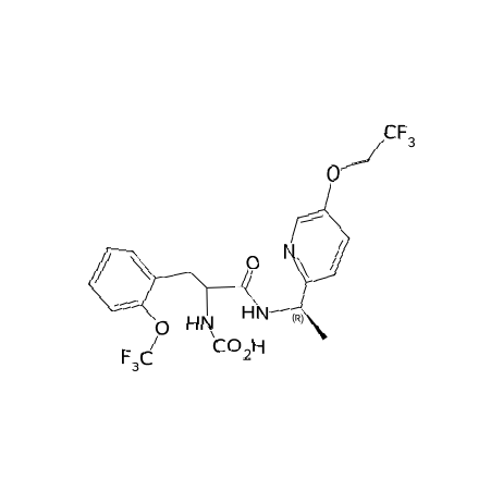 C[C@@H](NC(=O)C(Cc1ccccc1OC(F)(F)F)NC(=O)O)c1ccc(OCC(F)(F)F)cn1